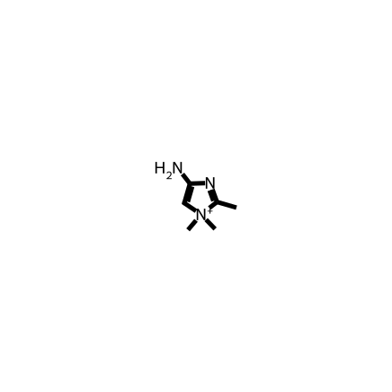 CC1=NC(N)=C[N+]1(C)C